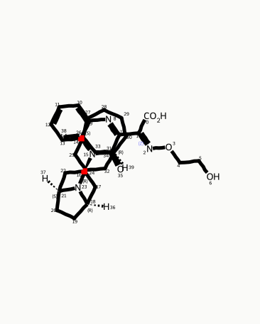 O=C(O)/C(=N\OCCO)c1nc2ccccc2n([C@H]2C[C@H]3CC[C@@H](C2)N3C2C[C@H]3CCCC[C@@H](C2)C3)c1=O